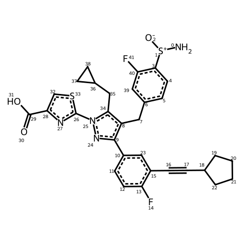 N[S+]([O-])c1ccc(Cc2c(-c3ccc(F)c(C#CC4CCCC4)c3)nn(-c3nc(C(=O)O)cs3)c2CC2CC2)cc1F